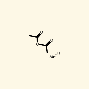 CC(=O)OC(C)=O.[LiH].[Mn]